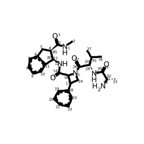 CNC(=O)[C@@H]1Cc2ccccc2[C@@H]1NC(=O)C1C(c2ccccc2)CN1C(=O)[C@@H](NC(=O)[C@H](C)N)C(C)C